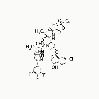 C=C[C@@H]1C[C@]1(NC(=O)[C@@H]1C[C@@H](Oc2ncc(O)c3ccc(Cl)cc23)CN1C(=O)[C@@H](Nc1nc(-c2cc(F)c(F)c(F)c2)cs1)C(C)(C)C)C(=O)NS(=O)(=O)C1CC1